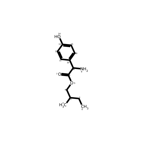 CCC(C)COC(=O)C(N)c1ccc(O)cc1